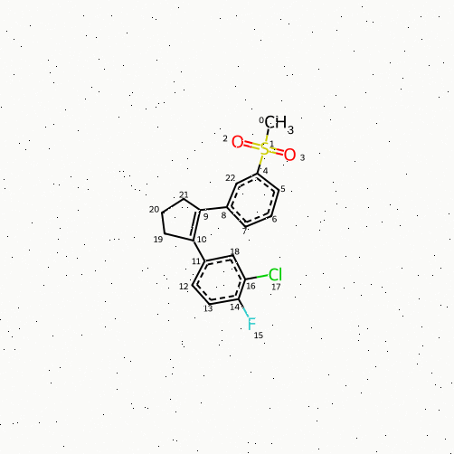 CS(=O)(=O)c1cccc(C2=C(c3ccc(F)c(Cl)c3)CCC2)c1